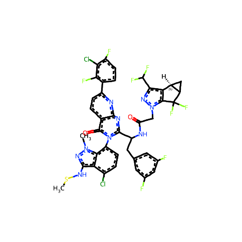 CSNc1nn(C)c2c(-n3c(C(Cc4cc(F)cc(F)c4)NC(=O)Cn4nc(C(F)F)c5c4C(F)(F)C4C[C@H]54)nc4nc(-c5ccc(F)c(Cl)c5F)ccc4c3=O)ccc(Cl)c12